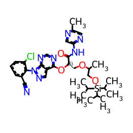 Cc1cnc(NC(=O)[C@H](COC(C)CO[Si](C(C)C)(C(C)C)C(C)C)Oc2ncnc3c2cnn3-c2c(Cl)cccc2C#N)cn1